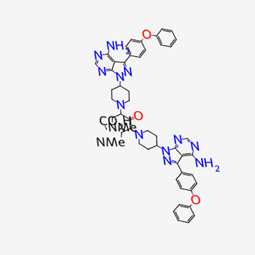 CC(=O)O.CNCC(C(=O)C(CNC)N1CCC(n2nc(-c3ccc(Oc4ccccc4)cc3)c3c(N)ncnc32)CC1)N1CCC(n2nc(-c3ccc(Oc4ccccc4)cc3)c3c(N)ncnc32)CC1